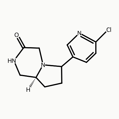 O=C1CN2C(c3ccc(Cl)nc3)CC[C@H]2CN1